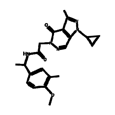 COc1ccc(C(C)NC(=O)Cn2ncc3c(c(C)nn3C3CC3)c2=O)cc1C